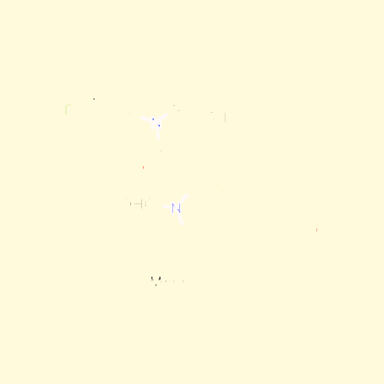 COc1ccccc1C(CN(C=O)c1scc(C)c1C(=O)N(C)C1CC(F)(F)C1)OC1CCOCC1